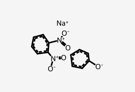 O=[N+]([O-])c1ccccc1[N+](=O)[O-].[Na+].[O-]c1ccccc1